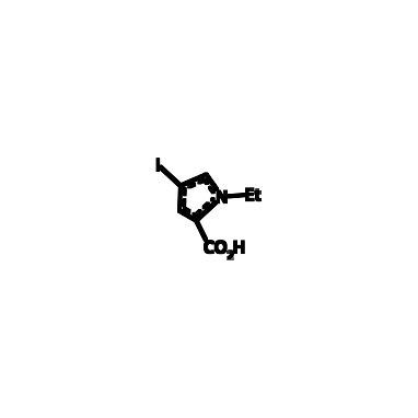 CCn1cc(I)cc1C(=O)O